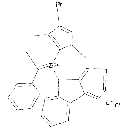 CC1=[C](/[Zr+2](=[C](\C)c2ccccc2)[CH]2c3ccccc3-c3ccccc32)C(C)C=C1C(C)C.[Cl-].[Cl-]